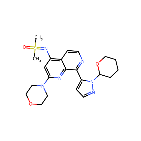 CS(C)(=O)=Nc1cc(N2CCOCC2)nc2c(-c3ccnn3C3CCCCO3)nccc12